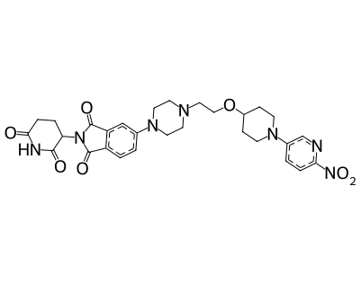 O=C1CCC(N2C(=O)c3ccc(N4CCN(CCOC5CCN(c6ccc([N+](=O)[O-])nc6)CC5)CC4)cc3C2=O)C(=O)N1